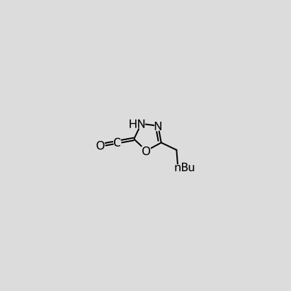 CCCCCC1=NNC(=C=O)O1